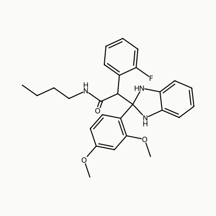 CCCCNC(=O)C(c1ccccc1F)C1(c2ccc(OC)cc2OC)Nc2ccccc2N1